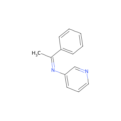 CC(=Nc1cccnc1)c1ccccc1